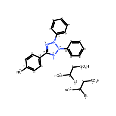 CCCCCCCCC(CC)CS(=O)(=O)O.CCCCCCCCC(CC)CS(=O)(=O)O.N#Cc1ccc(C2=NN(c3ccccc3)N(c3ccccc3)N2)cc1